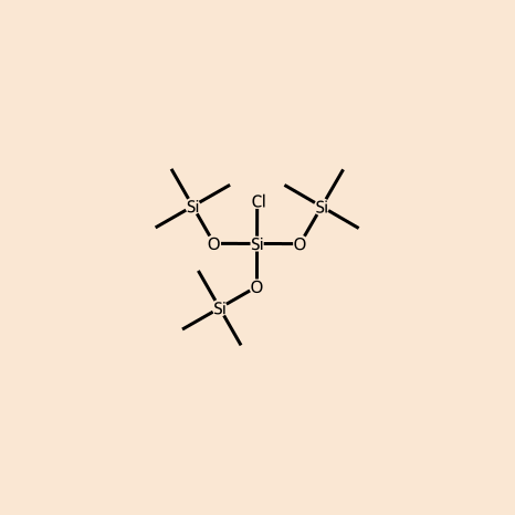 C[Si](C)(C)O[Si](Cl)(O[Si](C)(C)C)O[Si](C)(C)C